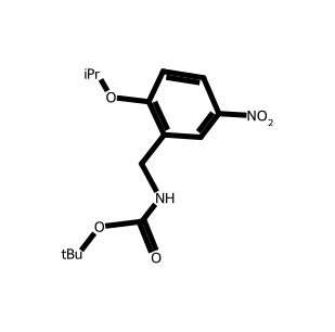 CC(C)Oc1ccc([N+](=O)[O-])cc1CNC(=O)OC(C)(C)C